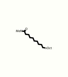 CCCCCCCCCCCCCCCCCC(=O)NC